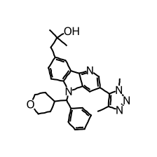 Cc1nnn(C)c1-c1cnc2c3cc(CC(C)(C)O)ccc3n(C(c3ccccc3)C3CCOCC3)c2c1